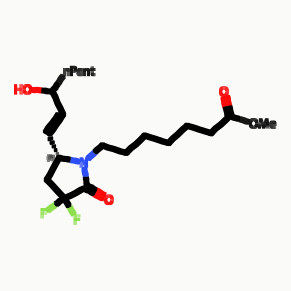 CCCCCC(O)C=C[C@H]1CC(F)(F)C(=O)N1CCCCCCC(=O)OC